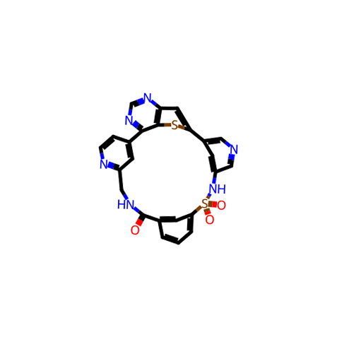 O=C1NCc2cc(ccn2)-c2ncnc3cc(sc23)-c2cncc(c2)NS(=O)(=O)c2cccc1c2